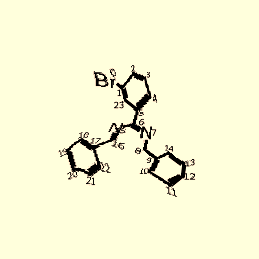 Brc1cccc(C(=N/Cc2ccccc2)/N=C/c2ccccc2)c1